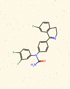 NC(=O)N(c1ccc(C2=NCCc3ccc(F)cc32)cc1)c1ccc(F)c(F)c1